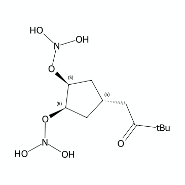 CC(C)(C)C(=O)C[C@H]1C[C@H](ON(O)O)[C@H](ON(O)O)C1